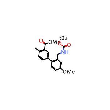 COC(=O)c1cc(-c2ccc(OC)cc2CNC(=O)OC(C)(C)C)ccc1C